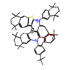 CC1(C)CCC(C)(C)C2CC3=C(C=C21)N(c1ccc(C(C)(C)C)cc1-c1ccccc1)c1cc(C(C)(C)C)cc2c1B3c1c(sc3cc4c(cc13)C(C)(C)CCC4(C)C)N2c1ccc2c(c1)C(C)(C)CCC2(C)C